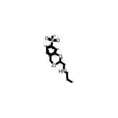 CCCNCC1OCc2ccc(S(C)(=O)=O)cc2O1